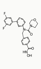 O=C(NO)c1ccc(CN(C(=O)N2CCOCC2)c2cccc(-c3cc(F)cc(F)c3)c2)cc1